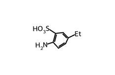 CCc1ccc(N)c(S(=O)(=O)O)c1